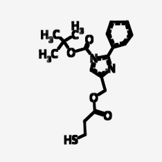 CC(C)(C)OC(=O)n1cc(COC(=O)CCS)nc1-c1ccccc1